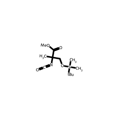 COC(=O)C(C)(CO[Si](C)(C)C(C)(C)C)N=C=O